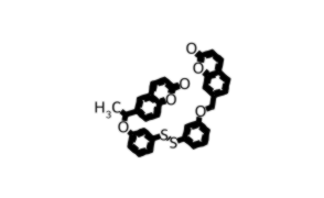 CC(Oc1cccc(SSc2cccc(OCc3ccc4ccc(=O)oc4c3)c2)c1)c1ccc2oc(=O)ccc2c1